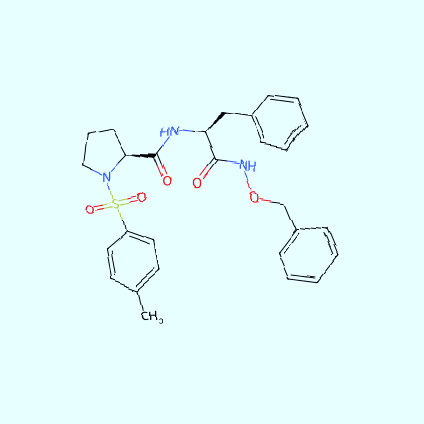 Cc1ccc(S(=O)(=O)N2CCC[C@H]2C(=O)N[C@@H](Cc2ccccc2)C(=O)NOCc2ccccc2)cc1